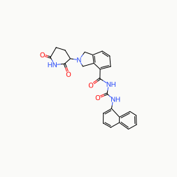 O=C1CCC(N2Cc3cccc(C(=O)NC(=O)Nc4cccc5ccccc45)c3C2)C(=O)N1